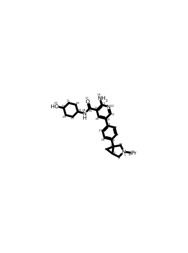 CC(C)N1CC2CC2(c2ccc(-c3cnc(N)c(C(=O)NC4CCC(O)CC4)c3)cc2)C1